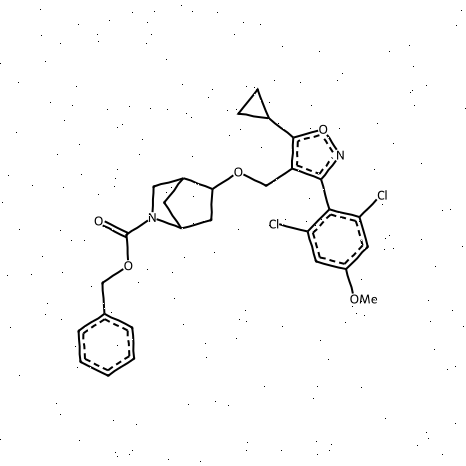 COc1cc(Cl)c(-c2noc(C3CC3)c2COC2CC3CC2CN3C(=O)OCc2ccccc2)c(Cl)c1